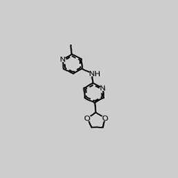 Cc1cc(Nc2ccc(C3OCCO3)cn2)ccn1